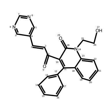 O=C(/C=C/c1cncnc1)c1c(-c2ccccc2)c2ccccc2n(CCO)c1=O